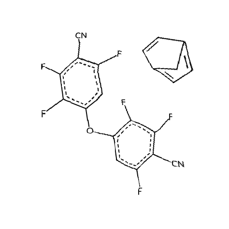 C1=CC2=CC=C1C2.N#Cc1c(F)cc(Oc2cc(F)c(C#N)c(F)c2F)c(F)c1F